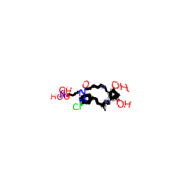 C[C@H](/C=C/[C@@H]1[C@@H](C/C=C\CCCC(=O)NCCCON(O)O)[C@@H](O)C[C@H]1O)CCc1cccc(Cl)c1